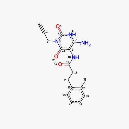 C#CCn1c(=O)[nH]c(N)c(NC(=O)CCc2ccccc2C)c1=O